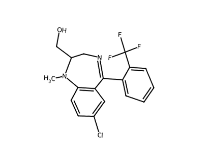 CN1c2ccc(Cl)cc2C(c2ccccc2C(F)(F)F)=NCC1CO